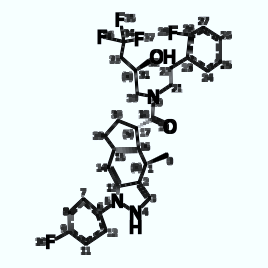 C[C@H]1C2=CNN(c3ccc(F)cc3)C2=CC2=C1[C@@H](C(=O)N(CCc1ccccc1F)C[C@H](O)CC(F)(F)F)CC2